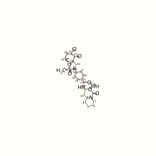 CC(C)(C)OC(=O)N1CCCCC1CCNC(=O)c1ccc(N(Cc2cccc(Cl)c2Cl)S(C)(=O)=O)cc1